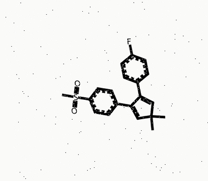 CC1(C)C=C(c2ccc(F)cc2)C(c2ccc(S(C)(=O)=O)cc2)=C1